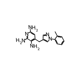 Cc1ccccc1-n1cc(Cc2cc(N)nc(N)c2N)cn1